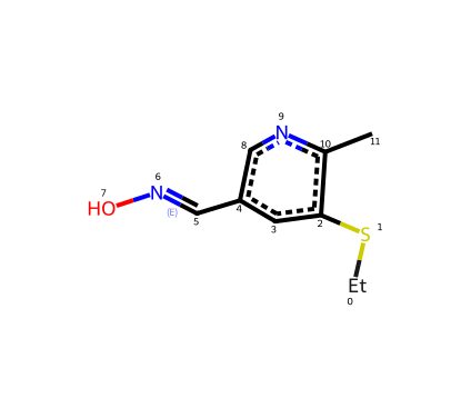 CCSc1cc(/C=N/O)cnc1C